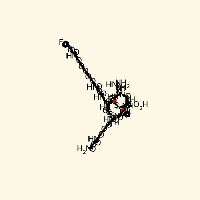 N=C(N)NCCC[C@@H]1NC(=O)[C@@H]2CSSC[C@H](NC(=O)[C@H](CC(=O)O)NC(=O)CNC1=O)C(=O)N[C@@H](Cc1ccccc1)C(=O)N[C@H](C(=O)NCCOCCOCCOCCNC(=O)COCC(N)=O)CSCC(=O)N[C@@H](CCCCNC(=O)COCC(=O)NCCOCCOCCOCCOCCOCCNC(=O)CO/N=C/c1ccc(F)cc1)C(=O)N2